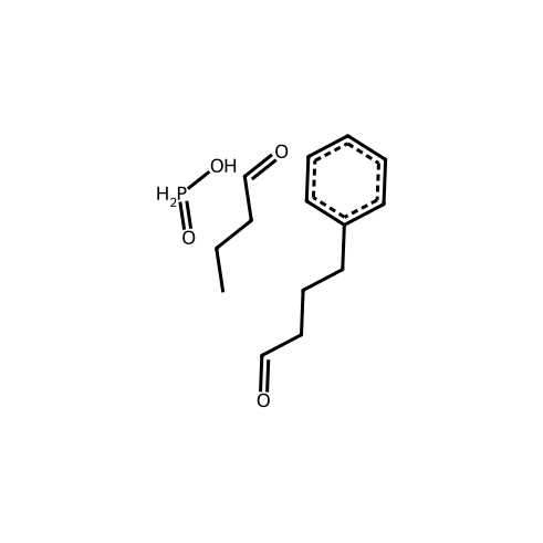 CCCC=O.O=CCCCc1ccccc1.O=[PH2]O